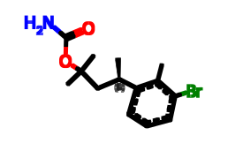 Cc1c(Br)cccc1[C@H](C)CC(C)(C)OC(N)=O